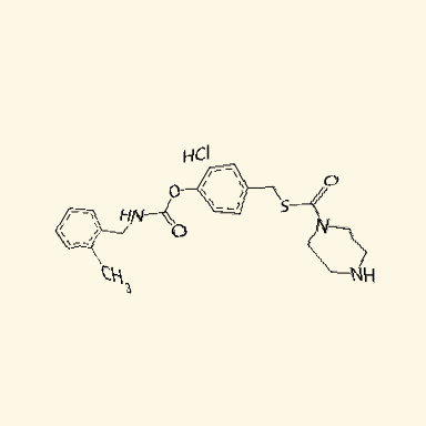 Cc1ccccc1CNC(=O)Oc1ccc(CSC(=O)N2CCNCC2)cc1.Cl